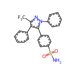 NS(=O)(=O)c1ccc(-c2c(-c3ccccc3)c(C(F)(F)F)nn2-c2ccccc2)cc1